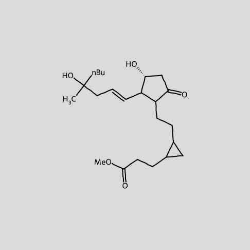 CCCCC(C)(O)C/C=C/C1C(CCC2CC2CCC(=O)OC)C(=O)C[C@H]1O